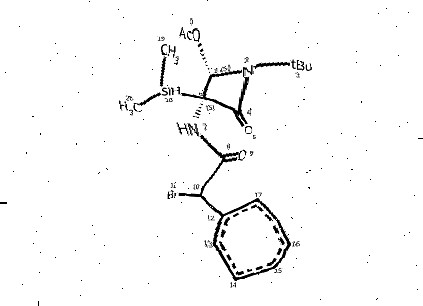 CC(=O)O[C@@H]1N(C(C)(C)C)C(=O)[C@@]1(NC(=O)C(Br)c1ccccc1)[SiH](C)C